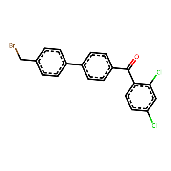 O=C(c1ccc(-c2ccc(CBr)cc2)cc1)c1ccc(Cl)cc1Cl